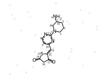 N[C@H]1CCCN(c2nccc(/C=C3\SC(=O)CC3=O)n2)C1